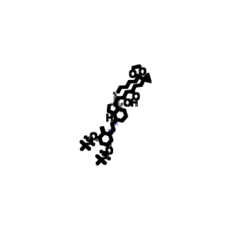 C=C1/C(=C\C=C2/CCC[C@]3(C)[C@@H]([C@H](C)C(O)CC(=O)CCC4(C5(CCCCC)OCCO5)CC4)CC[C@@H]23)C[C@@H](O[Si](C)(C)C(C)(C)C)C[C@@H]1O[Si](C)(C)C(C)(C)C